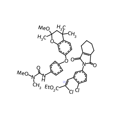 CCOC(=O)/C(Cl)=C/c1cc(N2C(=O)C3=C(CCCC3)C2=O)ccc1Cl.CON(C)C(=O)Nc1ccc(Oc2ccc3c(c2)OC(C)(OC)CC3(C)C)cc1